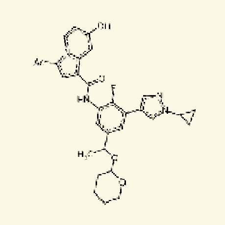 CC(=O)c1cc(C(=O)Nc2cc(C(C)OC3CCCCO3)cc(-c3cnn(C4CC4)c3)c2F)c2cc(O)ccn12